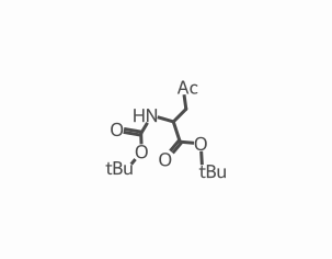 CC(=O)CC(NC(=O)OC(C)(C)C)C(=O)OC(C)(C)C